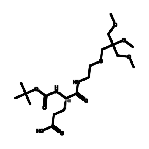 COCC(COC)(COCCNC(=O)[C@H](CCC(=O)O)NC(=O)OC(C)(C)C)OC